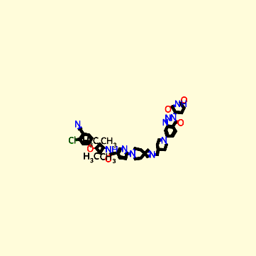 CC1(C)[C@H](NC(=O)c2ccc(N3CCC4(CC3)CN(CC3CCN(c5ccc6c(=O)n(C7CCC(=O)NC7=O)nnc6c5)CC3)C4)nc2)C(C)(C)[C@H]1Oc1ccc(C#N)c(Cl)c1